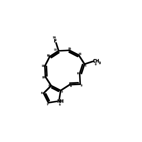 CC1=C\C=C\c2[nH]ccc2/C=C\C=C(F)/C=C\1